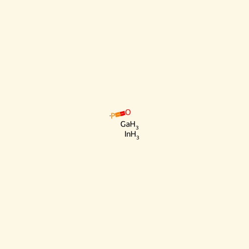 O=[P].[GaH3].[InH3]